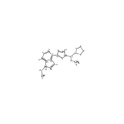 N#CCC(C1CCCC1)n1cc(-c2ncnc3c2ccn3CO)cn1